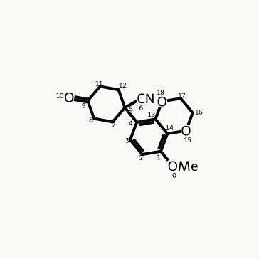 COc1ccc(C2(C#N)CCC(=O)CC2)c2c1OCCO2